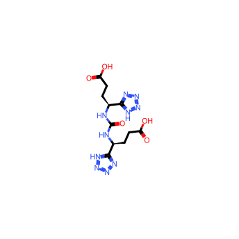 O=C(O)CC[C@H](NC(=O)N[C@@H](CCC(=O)O)c1nnn[nH]1)c1nnn[nH]1